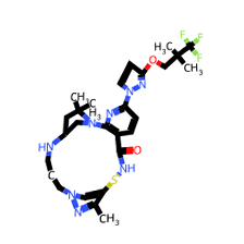 Cc1nn2cc1SNC(=O)c1ccc(-n3ccc(OCC(C)(C)C(F)(F)F)n3)nc1N1CC(CC1(C)C)NCCC2